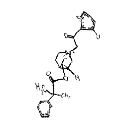 CC(C)(C(=O)O[C@H]1C[N+]2(CC(=O)c3sccc3Cl)CCC1CC2)c1ccccc1